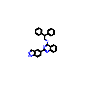 c1ccc(C(CNc2nc(-c3ccc4[nH]ncc4c3)nc3ccccc23)c2ccccc2)cc1